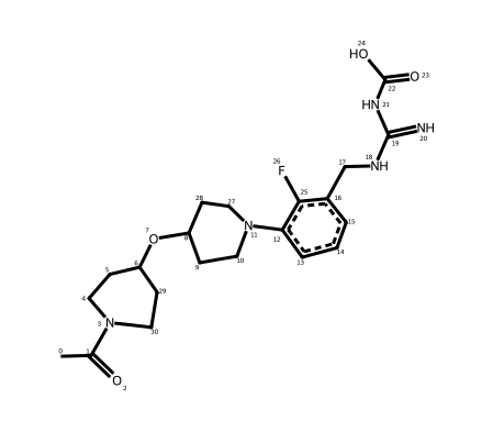 CC(=O)N1CCC(OC2CCN(c3cccc(CNC(=N)NC(=O)O)c3F)CC2)CC1